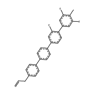 C=CCc1ccc(-c2ccc(-c3ccc(-c4cc(F)c(C)c(F)c4)c(F)c3)cc2)cc1